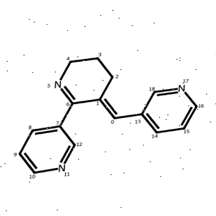 C(=C1/CCCN=C1c1cccnc1)/c1cccnc1